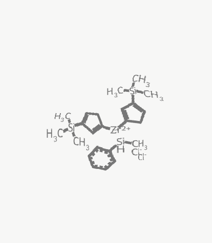 C[SiH](c1ccccc1)[Zr+2]([C]1=CC([Si](C)(C)C)=CC1)[C]1=CC([Si](C)(C)C)=CC1.[Cl-].[Cl-]